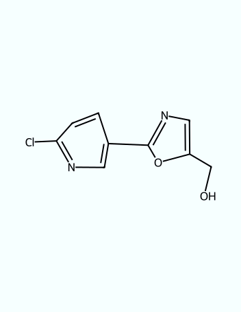 OCc1cnc(-c2ccc(Cl)nc2)o1